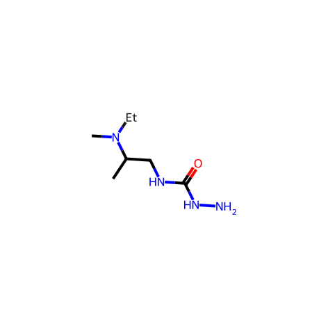 CCN(C)C(C)CNC(=O)NN